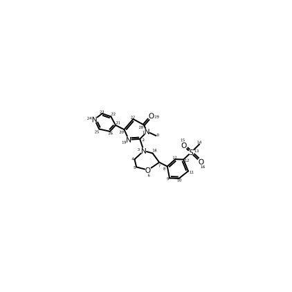 Cn1c(N2CCOC(c3cccc(S(C)(=O)=O)c3)C2)nc(-c2ccncc2)cc1=O